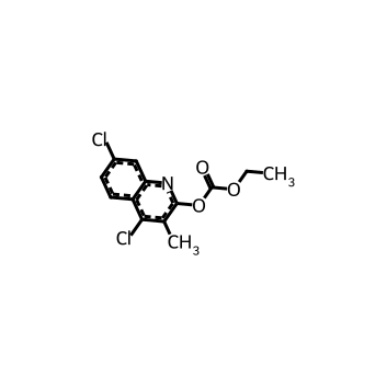 CCOC(=O)Oc1nc2cc(Cl)ccc2c(Cl)c1C